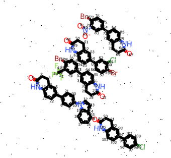 O=C1CCc2cc(-c3ccc(-n4ccc5ccccc54)cc3)ccc2N1.O=C1CCc2cc(-c3ccc(Br)c(C(F)(F)F)c3)ccc2N1.O=C1CCc2cc(-c3ccc(Br)c(Cl)c3)ccc2N1.O=C1CCc2cc(-c3ccc(Br)c([N+](=O)[O-])c3)ccc2N1.O=C1CCc2cc(-c3ccc(Cl)cc3)ccc2N1